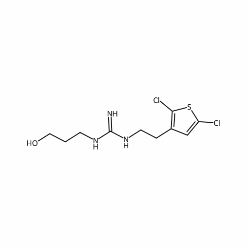 N=C(NCCCO)NCCc1cc(Cl)sc1Cl